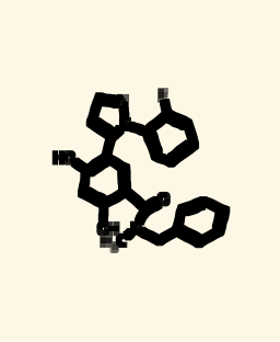 CN(Cc1ccccc1)C(=O)c1cc(-c2ccnn2-c2ccccc2F)c(O)cc1O